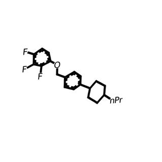 CCCC1CCC(c2ccc(COc3ccc(F)c(F)c3F)cc2)CC1